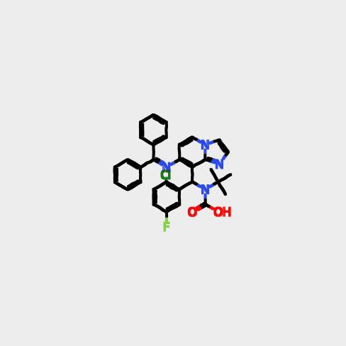 CC(C)(C)N(C(=O)O)C(c1cc(F)ccc1Cl)c1c(N=C(c2ccccc2)c2ccccc2)ccn2ccnc12